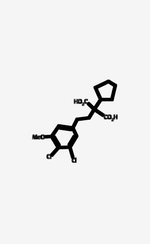 COc1cc(CCC(C(=O)O)(C(=O)O)C2CCCC2)cc(Cl)c1Cl